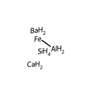 [AlH2][Fe].[BaH2].[CaH2].[SiH4]